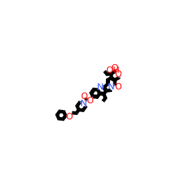 CCc1c2c(nc3ccc(OC(=O)N4CCC(CCOC5CCCCC5)CC4)cc13)-c1cc3c(c(=O)n1C2)COC(=O)[C@]3(O)CC